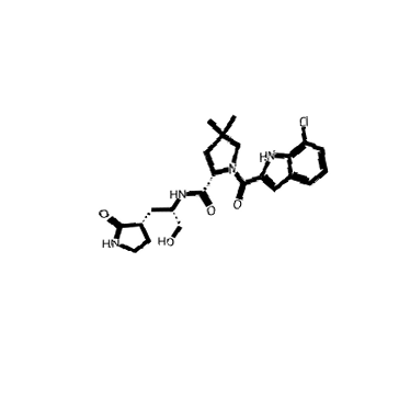 CC1(C)C[C@@H](C(=O)N[C@H](CO)C[C@@H]2CCNC2=O)N(C(=O)c2cc3cccc(Cl)c3[nH]2)C1